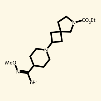 CCC/C(=N/OC)C1CCN(C2CC3(CCN(C(=O)OCC)C3)C2)CC1